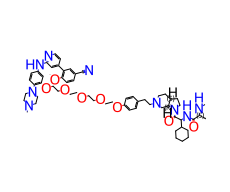 CN[C@@H](C)C(=O)NC(C(=O)N1CC[C@@H]2CCN(CCc3ccc(OCCOCCOCCOCCOc4cc(Nc5cc(-c6cc(C#N)ccc6OC)ccn5)ccc4N4CCN(C)CC4)cc3)C[C@@H]21)C1CCCCC1